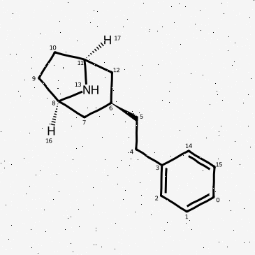 c1ccc(CC[C@H]2C[C@H]3CC[C@@H](C2)N3)cc1